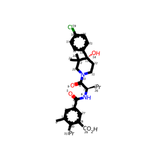 Cc1cc(C(=O)N[C@@H](C(=O)N2CC[C@](O)(c3ccc(Cl)cc3)C(C)(C)C2)C(C)C)cc(C(=O)O)c1C(C)C